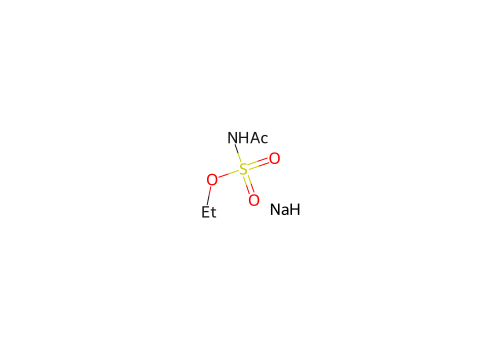 CCOS(=O)(=O)NC(C)=O.[NaH]